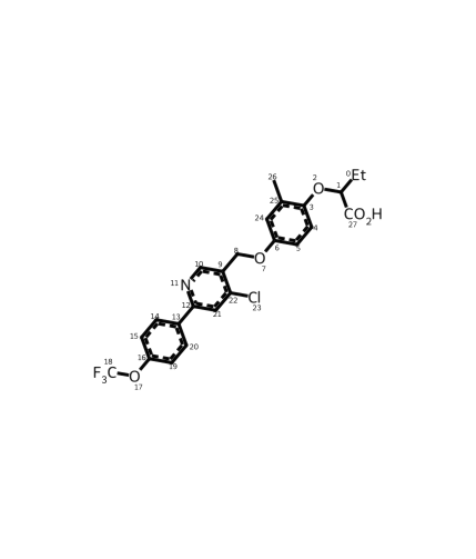 CCC(Oc1ccc(OCc2cnc(-c3ccc(OC(F)(F)F)cc3)cc2Cl)cc1C)C(=O)O